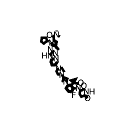 CN(C)C(=O)c1cc2cnc(Nc3ccc(N4CCN(C5CN(c6ccc(F)c7c6C6(CC6)C(=O)N7[C@@H]6CCC(=O)NC6=O)C5)CC4)cn3)nc2n1C1CCCC1